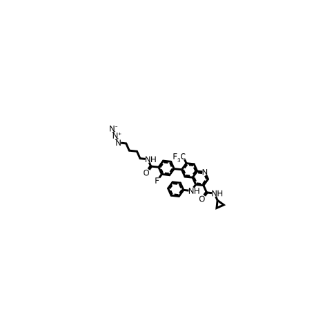 [N-]=[N+]=NCCCCNC(=O)c1ccc(-c2cc3c(Nc4ccccc4)c(C(=O)NC4CC4)cnc3cc2C(F)(F)F)cc1F